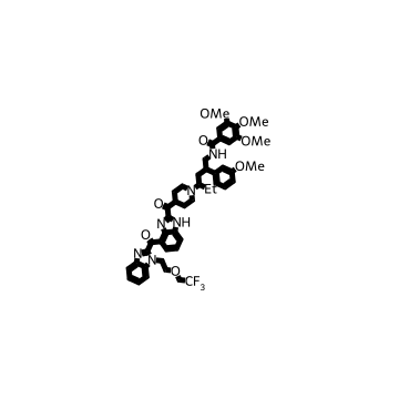 CCC(CC(CNC(=O)c1cc(OC)c(OC)c(OC)c1)c1cccc(OC)c1)N1CCC(C(=O)c2nc3c(C(=O)c4nc5ccccc5n4CCOCC(F)(F)F)cccc3[nH]2)CC1